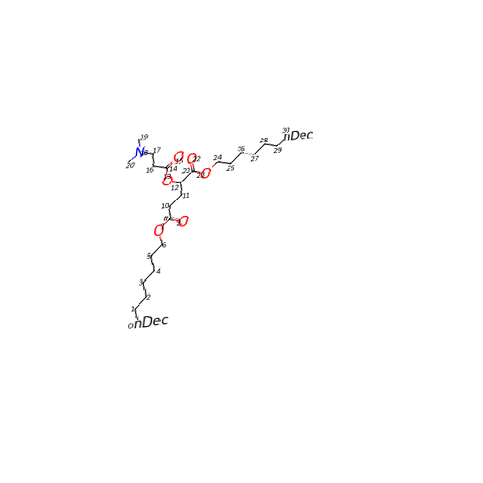 CCCCCCCCCCCCCCCCOC(=O)CCC(OC(=O)CCN(C)C)C(=O)OCCCCCCCCCCCCCCCC